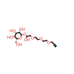 C#CCOCCOCCOCC(O)O[C@H]1O[C@H](CO)[C@@H](O)[C@H](O)[C@@H]1O